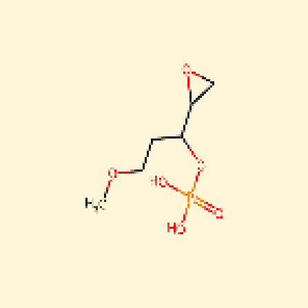 COCCC(OP(=O)(O)O)C1CO1